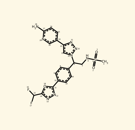 CS(=O)(=O)NCC(c1ccc(-c2nnc(C(F)F)o2)cc1)n1cc(-c2ccc(N)nc2)nn1